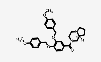 COc1ccc(COc2ccc(C(=O)N3CCN4CCC[C@H]4C3)cc2OCc2ccc(OC)cc2)cc1